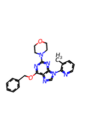 Cc1cccnc1-n1cnc2c(OCc3ccccc3)nc(N3CCOCC3)nc21